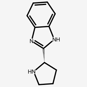 c1ccc2[nH]c([C@@H]3CCCN3)nc2c1